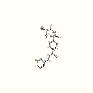 CC(NS(=O)(=O)c1ccc(C(=O)/C=C/c2ccccc2)cc1)C(=O)O